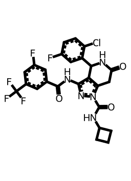 O=C1Cc2c(c(NC(=O)c3cc(F)cc(C(F)(F)F)c3)nn2C(=O)NC2CCC2)C(c2cc(F)ccc2Cl)N1